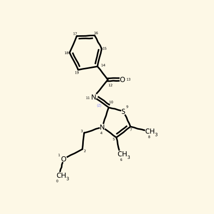 COCCn1c(C)c(C)s/c1=N\C(=O)c1ccccc1